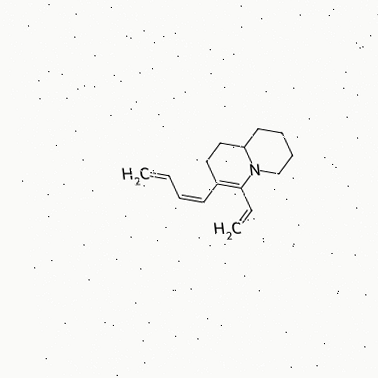 C=C/C=C\C1=C(C=C)N2CCCCC2CC1